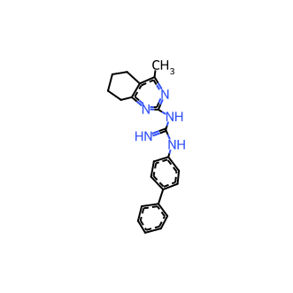 Cc1nc(NC(=N)Nc2ccc(-c3ccccc3)cc2)nc2c1CCCC2